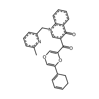 Cc1cccc(Cn2cc(C(=O)C3=COC=C(C4=CC=CCC4)O3)c(=O)c3ccccc32)n1